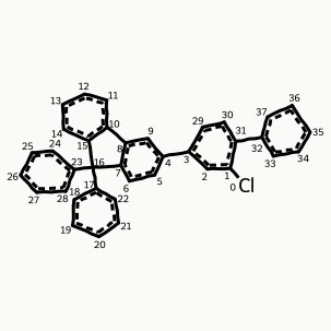 Clc1cc(-c2ccc3c(c2)-c2ccccc2C3(c2ccccc2)c2ccccc2)ccc1-c1ccccc1